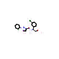 O=C(O)CC(NC(=O)c1cc(O)n(-c2ccccc2F)n1)c1cccc(C(F)(F)F)c1